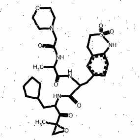 CC(NC(=O)CN1CCOCC1)C(=O)NC(Cc1ccc2c(c1)CCS(=O)(=O)N2)C(=O)NC(CC1CCCC1)C(=O)C1(C)CO1